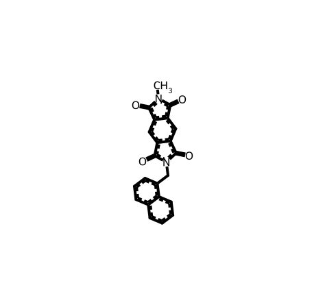 Cn1c(=O)c2cc3c(=O)n(Cc4cccc5ccccc45)c(=O)c3cc2c1=O